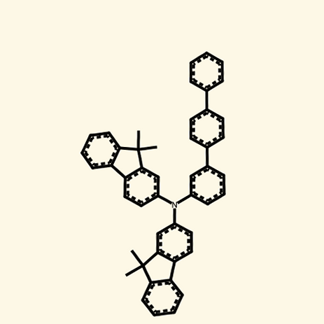 CC1(C)c2ccccc2-c2ccc(N(c3cccc(-c4ccc(-c5ccccc5)cc4)c3)c3ccc4c(c3)C(C)(C)c3ccccc3-4)cc21